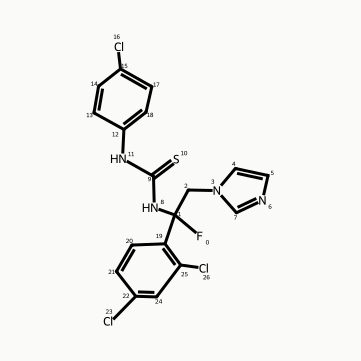 FC(Cn1ccnc1)(NC(=S)Nc1ccc(Cl)cc1)c1ccc(Cl)cc1Cl